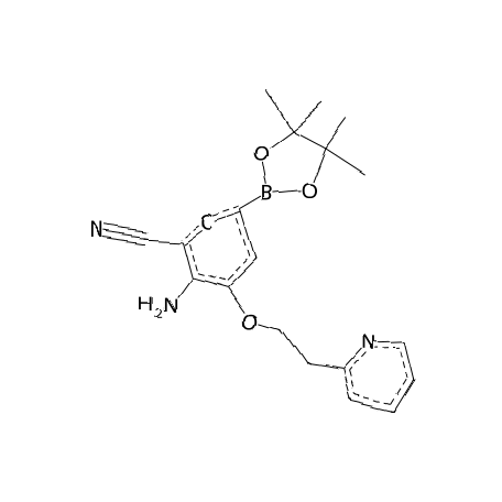 CC1(C)OB(c2cc(C#N)c(N)c(OCCc3ccccn3)c2)OC1(C)C